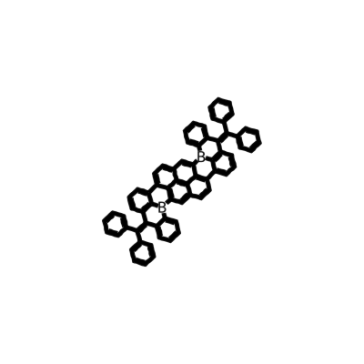 c1ccc(C(=C2c3ccccc3B3c4c2cccc4-c2ccc4cc5c6c(ccc7cc3c2c4c76)-c2cccc3c2B5c2ccccc2C3=C(c2ccccc2)c2ccccc2)c2ccccc2)cc1